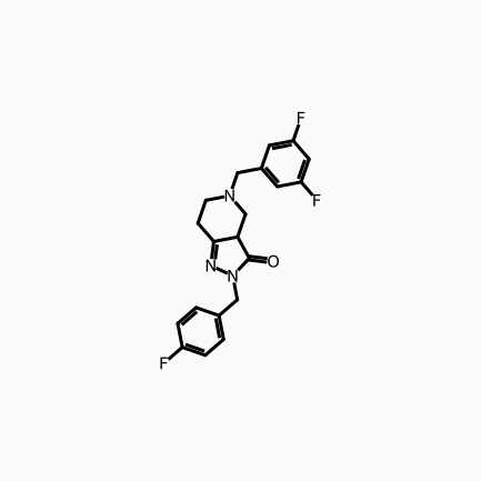 O=C1C2CN(Cc3cc(F)cc(F)c3)CCC2=NN1Cc1ccc(F)cc1